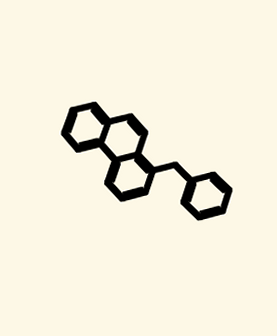 c1ccc(Cc2cccc3c2ccc2ccccc23)cc1